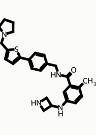 Cc1ccc(NC2CNC2)cc1C(=O)NCc1ccc(-c2ccc(CN3CCCC3)s2)cc1